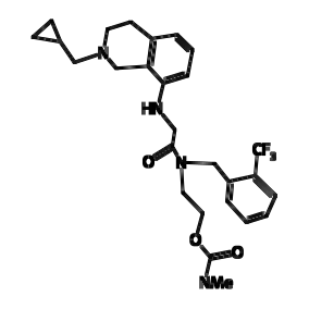 CNC(=O)OCCN(Cc1ccccc1C(F)(F)F)C(=O)CNc1cccc2c1CN(CC1CC1)CC2